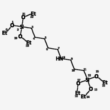 CCO[Si](CCCCCNCCC[Si](OCC)(OCC)OCC)(OCC)OCC